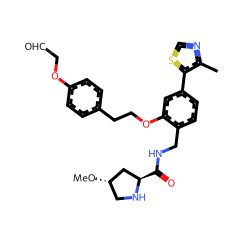 CO[C@H]1CN[C@H](C(=O)NCc2ccc(-c3scnc3C)cc2OCCc2ccc(OCC=O)cc2)C1